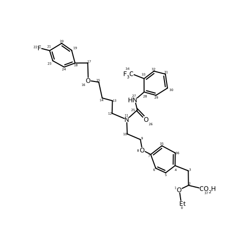 CCOC(Cc1ccc(OCCN(CCCCOCc2ccc(F)cc2)C(=O)Nc2ccccc2C(F)(F)F)cc1)C(=O)O